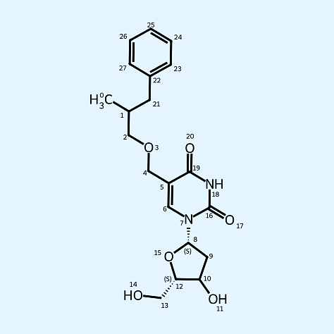 CC(COCc1cn([C@@H]2CC(O)[C@H](CO)O2)c(=O)[nH]c1=O)Cc1ccccc1